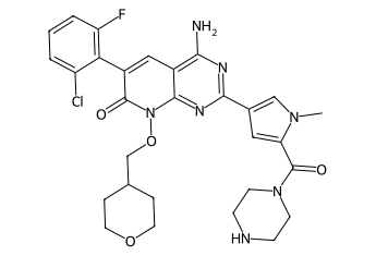 Cn1cc(-c2nc(N)c3cc(-c4c(F)cccc4Cl)c(=O)n(OCC4CCOCC4)c3n2)cc1C(=O)N1CCNCC1